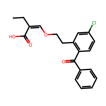 CCC(=COCCc1cc(Cl)ccc1C(=O)c1ccccc1)C(=O)O